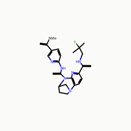 C=C(NC)c1ccc(NC(=C)N2c3nc(C(=C)NCC(C)(C)F)ccc3N3CCC2C3)nc1